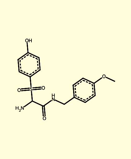 COc1ccc(CNC(=O)C(N)S(=O)(=O)c2ccc(O)cc2)cc1